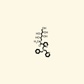 CN(C[C@H](O)[C@@H](O)[C@H](O)[C@H](O)CO)C(=O)c1cccnc1CN(Cc1ccccc1)Cc1ccccn1